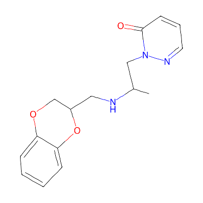 CC(Cn1ncccc1=O)NCC1COc2ccccc2O1